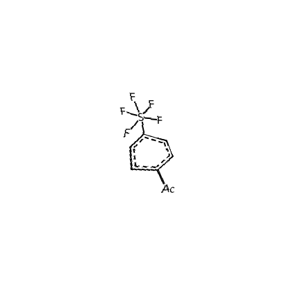 [CH2]C(=O)c1ccc(S(F)(F)(F)(F)F)cc1